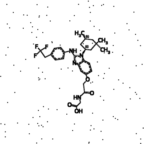 C[C@@H]1C[C@H](n2c(Nc3ccc(CC(F)(F)F)cc3)nc3cc(OCC(=O)NCC(=O)O)ccc32)CC(C)(C)C1